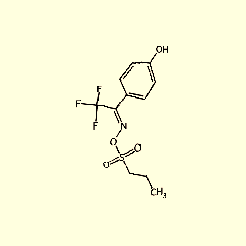 CCCS(=O)(=O)ON=C(c1ccc(O)cc1)C(F)(F)F